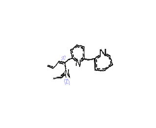 C=C/C=C(\N=C/C)c1cccc(-c2ccccn2)n1